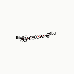 CC(C)(C)C1CCN(C(=O)CCOCCOCCOCCOCCOCCOCCOCCOCCNC(=O)CCN2C(=O)C[C@H](C(C)(C)C)C2=O)CC1